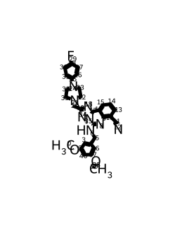 COc1cc(CNc2nc3c(C#N)cccc3c3nc(CN4CCN(c5ccc(F)cc5)CC4)nn23)cc(OC)c1